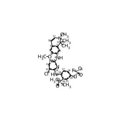 COc1cc2c(cc1Nc1ncc(Cl)c(Nc3ccc(OS(=O)(=O)F)cc3P(C)(C)=O)n1)C(C)(C)N(C)C=C2